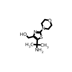 CC(C)(N)c1sc(N2CCOCC2)nc1CO